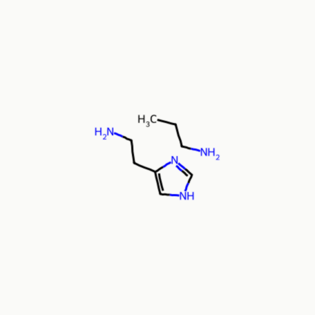 CCCN.NCCc1c[nH]cn1